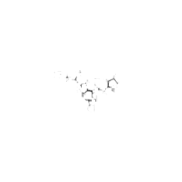 CC(C)(C)OC(=O)N1Cc2nc(Cl)nc(NCc3ccco3)c2C1